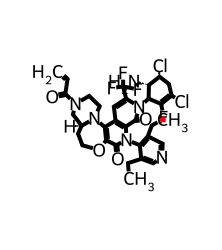 C=CC(=O)N1CCN2c3c(c(=O)n(-c4c(CC)cncc4CC)c4c(=O)n(C5C(F)=C(Cl)C[C@@H](Cl)[C@H]5N)c(C(F)(F)F)cc34)OCC[C@H]2C1